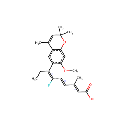 CC/C(=C(F)/C=C/C(C)=C/C(=O)O)c1cc2c(cc1OC)OC(C)(C)C=C2C